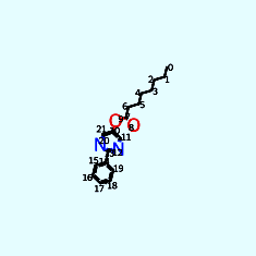 CCCCCCCC(=O)Oc1cnc(-c2cc[c]cc2)nc1